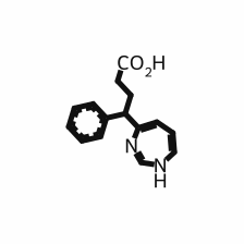 O=C(O)CCC(C1=CC=CNC=N1)c1ccccc1